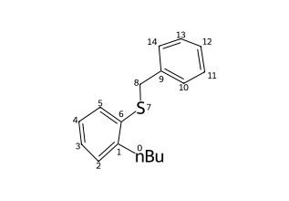 [CH2]CCCc1ccccc1SCc1ccccc1